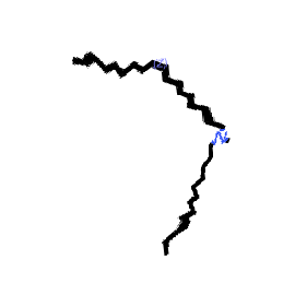 CCCCCCCC/C=C\CCCCCCCCN(C)CCCCCCCCCCCC